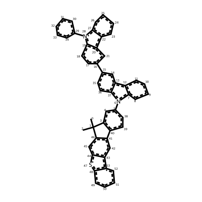 CC1(C)c2cc(-n3c4ccccc4c4cc(-c5ccc6c(c5)c5ccccc5n6-c5ccccc5)ccc43)ccc2-c2cc3c(cc21)sc1ccccc13